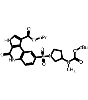 CCCOC(=O)c1c[nH]c2c(=O)[nH]c3ccc(S(=O)(=O)N4CCC(N(C)C(=O)OC(C)(C)C)C4)cc3c12